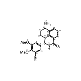 COc1cc([C@H]2NC(=O)c3cccc4c3N2CC[C@@H]4N)cc(Br)c1OC